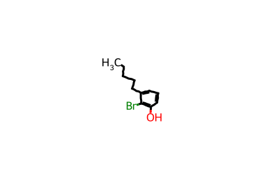 CCCCCc1cccc(O)c1Br